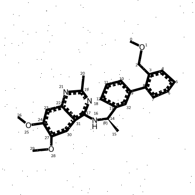 COCc1ccccc1-c1cccc([C@@H](C)Nc2nc(C)nc3cc(OC)c(OC)cc23)c1